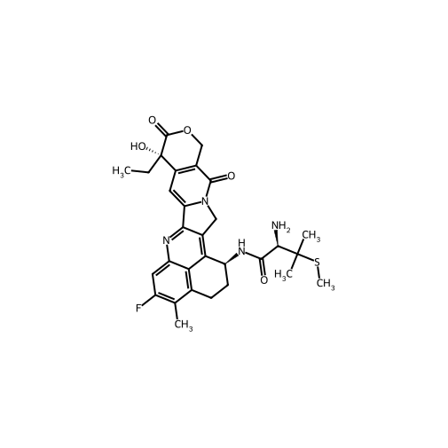 CC[C@@]1(O)C(=O)OCc2c1cc1n(c2=O)Cc2c-1nc1cc(F)c(C)c3c1c2[C@@H](NC(=O)[C@@H](N)C(C)(C)SC)CC3